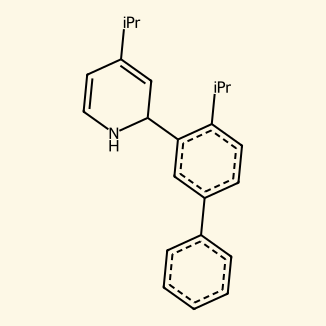 CC(C)C1=CC(c2cc(-c3ccccc3)ccc2C(C)C)NC=C1